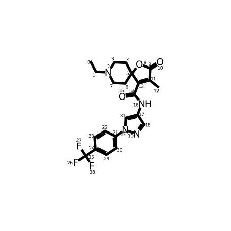 CCN1CCC2(CC1)OC(=O)C(C)=C2C(=O)Nc1cnn(-c2ccc(C(F)(F)F)cc2)c1